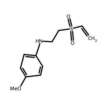 C=CS(=O)(=O)CCNc1ccc(OC)cc1